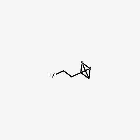 CCCC12B3B1C32